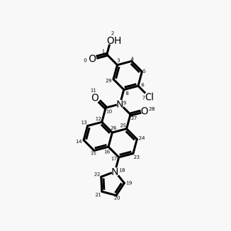 O=C(O)c1ccc(Cl)c(N2C(=O)c3cccc4c(-n5cccc5)ccc(c34)C2=O)c1